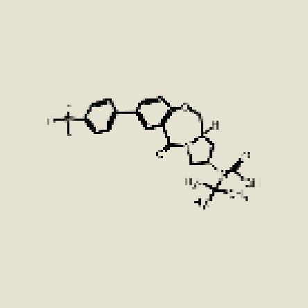 CC(C)(C)N(C(=O)O)[C@H]1C[C@H]2COc3ccc(-c4ccc(C(F)(F)F)cc4)cc3C(=O)N2C1